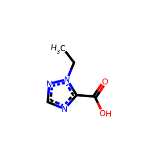 CCn1ncnc1C(=O)O